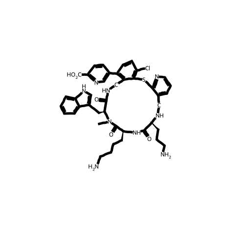 CN1C(=O)[C@H](CCCCN)NC(=O)[C@H](CCCN)NCc2cccnc2Sc2c(Cl)ccc(-c3ccc(C(=O)O)nc3)c2CNC(=O)[C@@H]1Cc1c[nH]c2ccccc12